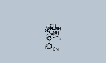 CN1C(=N)N[C@](C)(c2cc(-c3cncc(C#N)c3)cs2)CS1(=O)=O